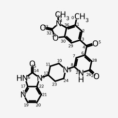 Cc1cc(C(=O)c2cc(N3CCC(n4c(=O)[nH]c5ncccc54)CC3)[nH]c(=O)c2)cc2oc(=O)n(C)c12